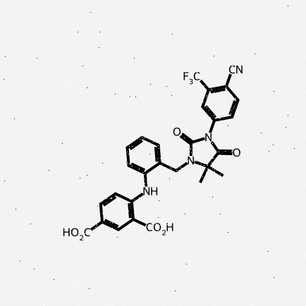 CC1(C)C(=O)N(c2ccc(C#N)c(C(F)(F)F)c2)C(=O)N1Cc1ccccc1Nc1ccc(C(=O)O)cc1C(=O)O